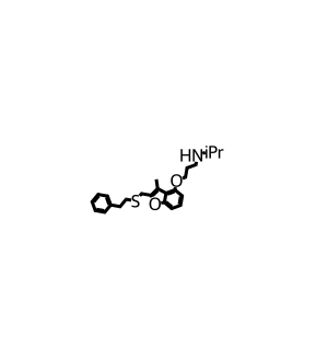 Cc1c(CSCCc2ccccc2)oc2cccc(OCCCNC(C)C)c12